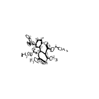 CCOC(=O)C1=C(C)N=C(C)N(C(=O)OC)C1c1cccc([N+](=O)[O-])c1